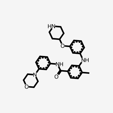 Cc1ccc(C(=O)Nc2cccc(N3CCOCC3)c2)cc1Nc1cccc(OC2CCNCC2)c1